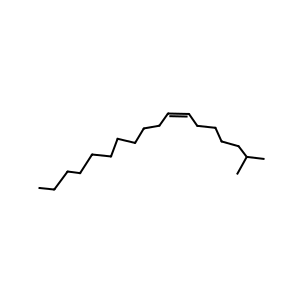 CCCCCCCCCC/C=C\CCCCC(C)C